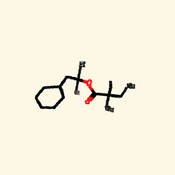 CCC(CC)(CC1CCCCC1)OC(=O)C(C)(CC(C)(C)C)C(C)(C)C